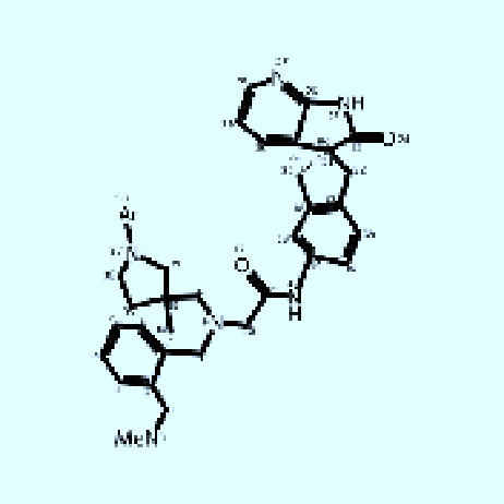 CNCc1ccccc1CN(CC(=O)Nc1ccc2c(c1)C[C@@]1(C2)C(=O)Nc2ncccc21)CC1(C)CCN(C(C)=O)C1